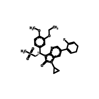 CCOc1cc([C@@H](CS(C)(=O)=O)n2c(=O)n(C3CC3)c3cc(C4=CCCC=C4F)cnc32)ccc1OC